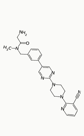 CN(Cc1cccc(-c2cnc(N3CCN(c4ncccc4C#N)CC3)nc2)c1)C(=O)CN